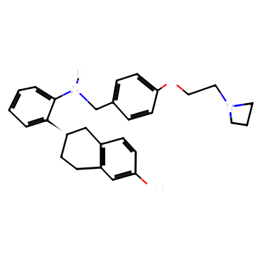 CCN(Cc1ccc(OCCN2CCC2)cc1)c1ccccc1[C@@H]1CCc2cc(O)ccc2C1